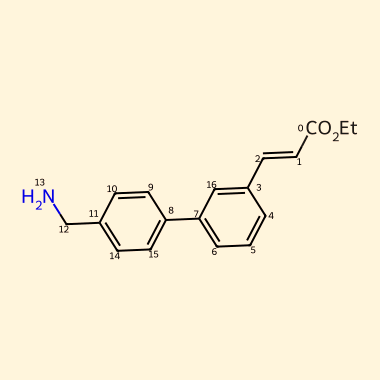 CCOC(=O)C=Cc1cccc(-c2ccc(CN)cc2)c1